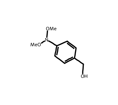 CON(OC)c1ccc(CO)cc1